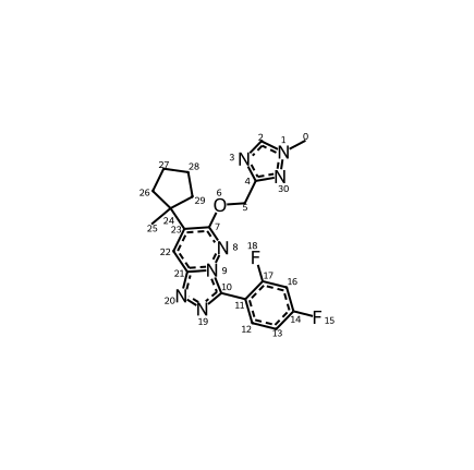 Cn1cnc(COc2nn3c(-c4ccc(F)cc4F)nnc3cc2C2(C)CCCC2)n1